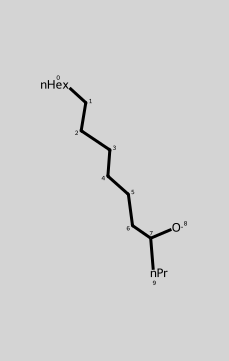 CCCCCCCCCCCCC([O])CCC